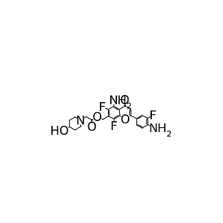 Nc1ccc(-c2cc(=O)c3c(N)c(F)c(COC(=O)CN4CCC(O)CC4)c(F)c3o2)cc1F